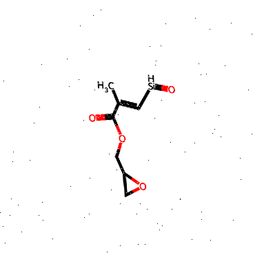 CC(=C[SiH]=O)C(=O)OCC1CO1